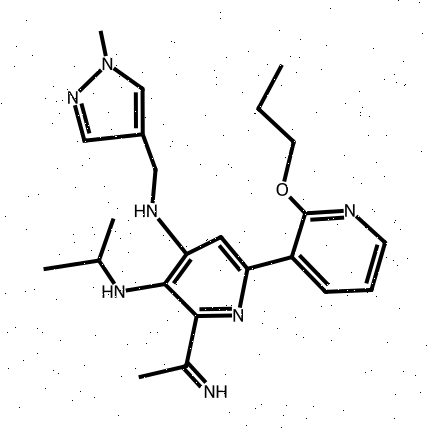 CCCOc1ncccc1-c1cc(NCc2cnn(C)c2)c(NC(C)C)c(C(C)=N)n1